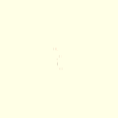 OO.[LiH].[Ti]